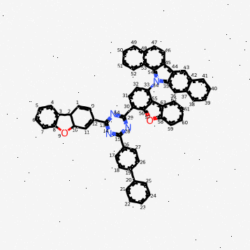 C1=CC2c3ccccc3OC2C=C1c1nc(-c2ccc(-c3ccccc3)cc2)nc(-c2ccc(-n3c4cc5ccccc5cc4c4ccc5ccccc5c43)c3c2oc2ccccc23)n1